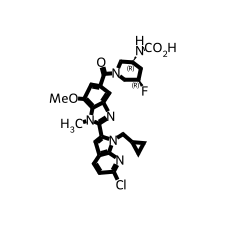 COc1cc(C(=O)N2C[C@H](F)C[C@@H](NC(=O)O)C2)cc2nc(-c3cc4ccc(Cl)nc4n3CC3CC3)n(C)c12